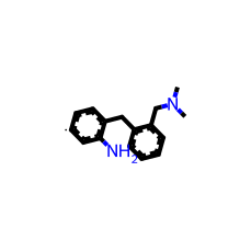 CN(C)Cc1ccccc1Cc1cc[c]cc1N